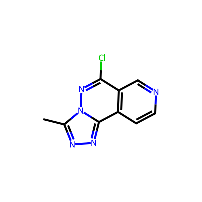 Cc1nnc2c3ccncc3c(Cl)nn12